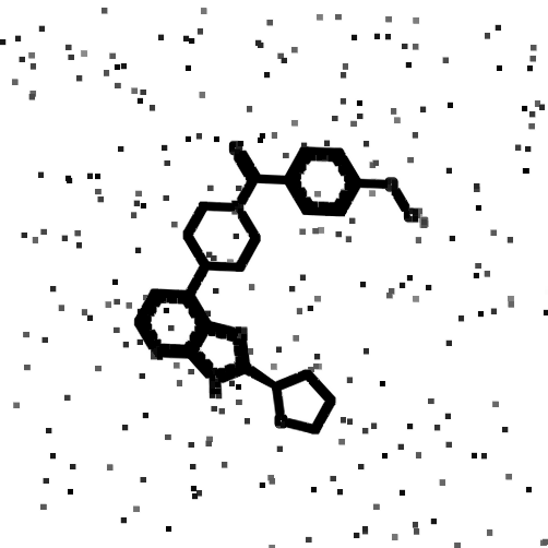 O=C(c1ccc(OC(F)(F)F)cc1)N1CCC(c2ccnc3[nH]c([C@H]4CCCO4)nc23)CC1